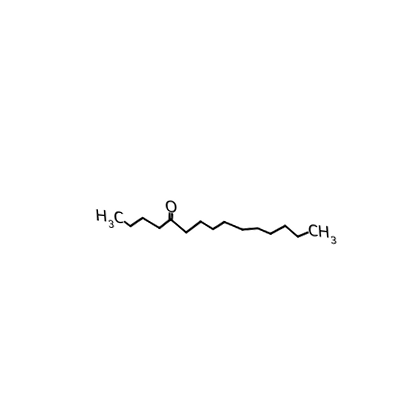 CCCCCCCCCCC(=O)CCCC